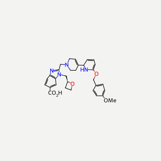 COc1ccc(COC2=CC=CC(C3=CCN(Cc4nc5ccc(C(=O)O)cc5n4C[C@@H]4CCO4)CC3)N2)cc1